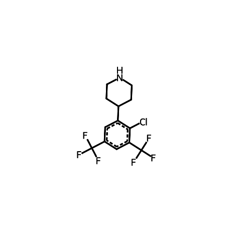 FC(F)(F)c1cc(C2CCNCC2)c(Cl)c(C(F)(F)F)c1